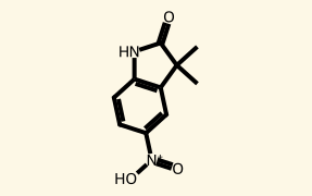 CC1(C)C(=O)Nc2ccc([N+](=O)O)cc21